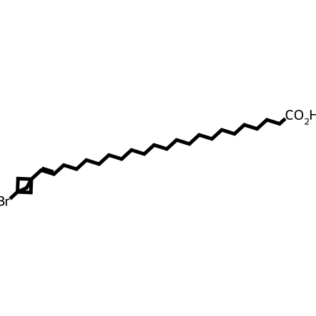 O=C(O)CCCCCCCCCCCCCCCCCCCCC=CC12CC(Br)(C1)C2